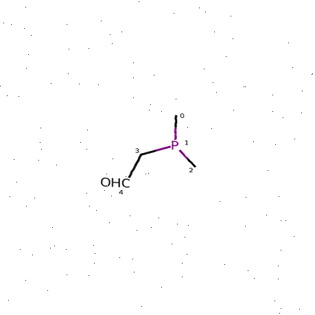 CP(C)CC=O